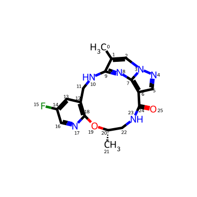 Cc1cn2ncc3c2nc1NCc1cc(F)cnc1O[C@@H](C)CNC3=O